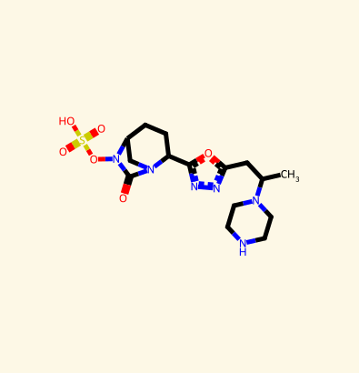 CC(Cc1nnc(C2CCC3CN2C(=O)N3OS(=O)(=O)O)o1)N1CCNCC1